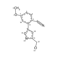 COc1ccc(C#N)c(-c2cc(CCl)no2)c1